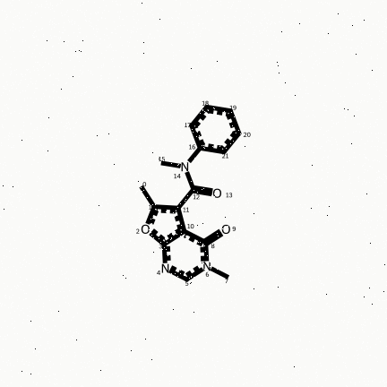 Cc1oc2ncn(C)c(=O)c2c1C(=O)N(C)c1ccccc1